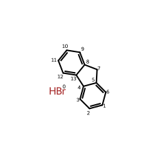 Br.c1ccc2c(c1)Cc1ccccc1-2